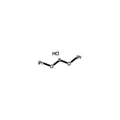 CC(C)O[B]OC(C)C.Cl